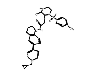 Cc1ccc(S(=O)(=O)N2CCNC(=O)C2CC(=O)N[C@@H]2CCCc3cc(C4=CCN(CC5CC5)CC4)ccc32)cc1